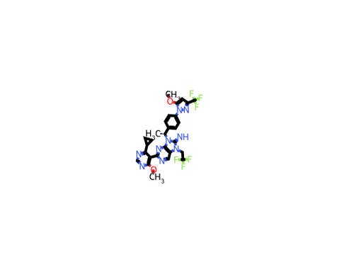 COc1ncnc(C2CC2)c1-c1ncc2c(n1)n([C@H](C)c1ccc(-n3nc(C(F)(F)F)cc3OC)cc1)c(=N)n2CC(F)(F)F